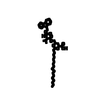 CCCCCCCCCCCCCCCCCC(=O)OC(CCC(=O)O)COC(=O)[C@@H](NC(=O)OCC1c2ccccc2-c2ccccc21)C(C)C